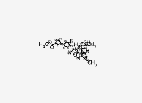 COC(=O)c1cc(-c2ccc(C[C@@H](C#N)NC(=O)[C@@H]3[C@@H]4C[C@@H](C5C(C)C54)N3C(=O)OC(C)(C)C)c(F)c2)cs1